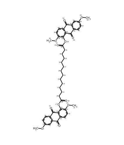 COc1ccc2c(c1)C(=O)c1ccc(OC)c(OC(=O)CCCCCCCCCCCCC(=O)Oc3c(OC)ccc4c3C(=O)c3ccc(OC)cc3C4=O)c1C2=O